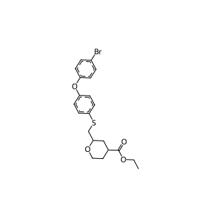 CCOC(=O)C1CCOC(CSc2ccc(Oc3ccc(Br)cc3)cc2)C1